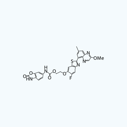 COc1cnc2c(-c3nc4cc(F)c(OCCOC(=O)Nc5ccc6[nH]c(=O)oc6c5)cc4s3)cc(C)cc2n1